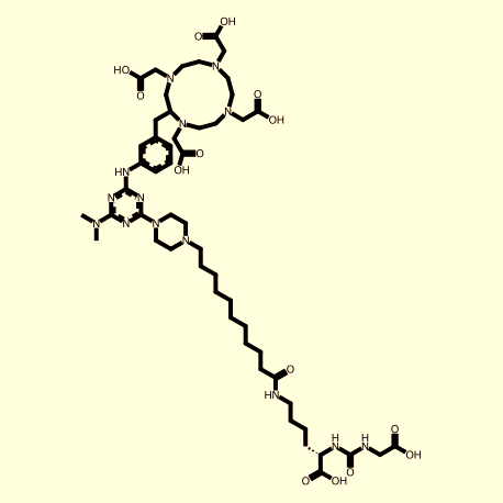 CN(C)c1nc(Nc2cccc(CC3CN(CC(=O)O)CCN(CC(=O)O)CCN(CC(=O)O)CCN3CC(=O)O)c2)nc(N2CCN(CCCCCCCCCCC(=O)NCCCC[C@H](NC(=O)NCC(=O)O)C(=O)O)CC2)n1